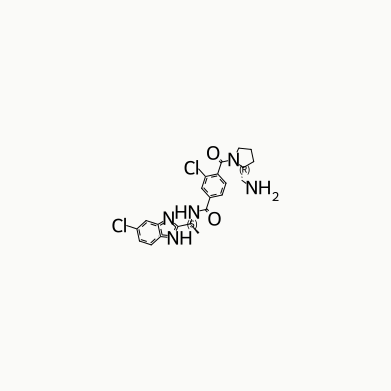 C[C@H](NC(=O)c1ccc(C(=O)N2CCC[C@@H]2CN)c(Cl)c1)c1nc2cc(Cl)ccc2[nH]1